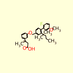 CCCC(C)(C)c1cc(COc2cccc([C@H](C)CC(=O)O)c2)ccc1-c1cc(OC)ccc1F